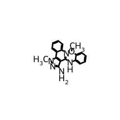 COc1ccccc1Nc1nc2ccccc2c2c1c(N)nn2C